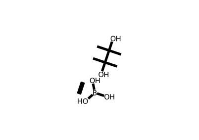 C=C.CC(C)(O)C(C)(C)O.OB(O)O